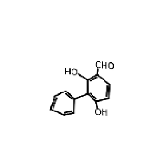 O=Cc1ccc(O)c(-c2ccccc2)c1O